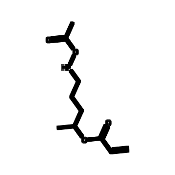 C=CC(=O)OC(C)CCCPOC(C)=O